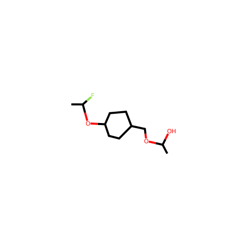 CC(O)OCC1CCC(OC(C)F)CC1